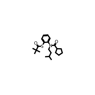 CC(C)CCN(C(=O)C1CCCC1)c1ccccc1SC(=O)C(C)(C)C